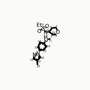 CCS(=O)(=O)N[C@H]1CCOC[C@@H]1COc1ccc(-n2cc(C)cn2)cc1